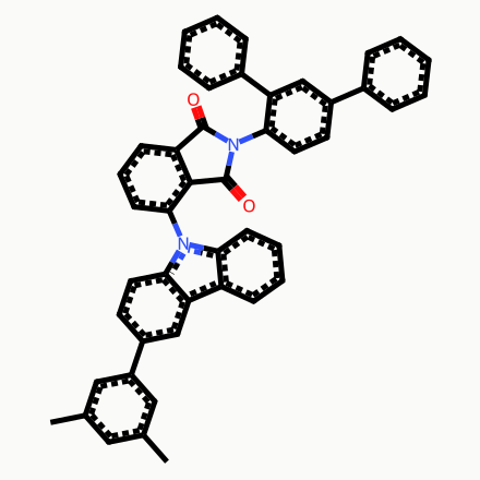 Cc1cc(C)cc(-c2ccc3c(c2)c2ccccc2n3-c2cccc3c2C(=O)N(c2ccc(-c4ccccc4)cc2-c2ccccc2)C3=O)c1